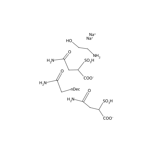 CCCCCCCCCCCC(N)=O.NC(=O)CC(C(=O)[O-])S(=O)(=O)O.NC(=O)CC(C(=O)[O-])S(=O)(=O)O.NCCO.[Na+].[Na+]